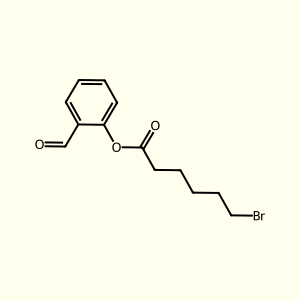 O=Cc1ccccc1OC(=O)CCCCCBr